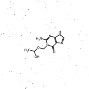 CC(O)OCn1c(N)nc2[nH]cnc2c1=O